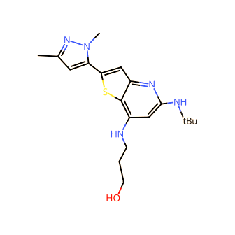 Cc1cc(-c2cc3nc(NC(C)(C)C)cc(NCCCO)c3s2)n(C)n1